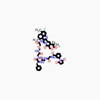 CC[C@@]1(C)C(=O)OCc2c1cc1n(c2=O)Cc2c-1nc1cc(F)c(C)c3c1c2[C@@](C)(NC(=O)COCNC(=O)CNC(=O)[C@H](Cc1ccccc1)NC(=O)CNC(=O)CNC(=O)c1cccc(N2C(=O)C=CC2=O)c1)CC3